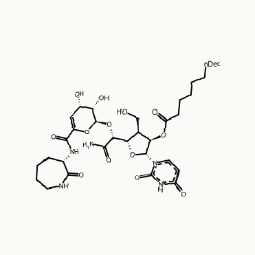 CCCCCCCCCCCCCCCC(=O)O[C@@H]1[C@H](CO)[C@@H]([C@@H](O[C@H]2OC(C(=O)N[C@H]3CCCCNC3=O)=C[C@H](O)[C@@H]2O)C(N)=O)O[C@H]1n1ccc(=O)[nH]c1=O